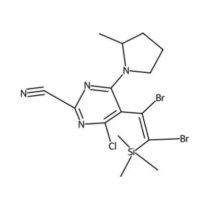 CC1CCCN1c1nc(C#N)nc(Cl)c1/C(Br)=C(/Br)[Si](C)(C)C